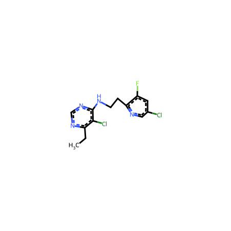 CCc1ncnc(NCCc2ncc(Cl)cc2F)c1Cl